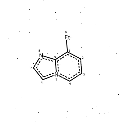 C[CH]c1cccn2ccnc12